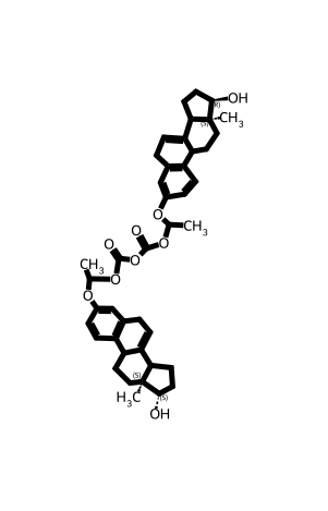 CC(OC(=O)OC(=O)OC(C)Oc1ccc2c(c1)CC=C1C2CC[C@@]2(C)C1CC[C@@H]2O)Oc1ccc2c(c1)CC=C1C2CC[C@@]2(C)C1CC[C@H]2O